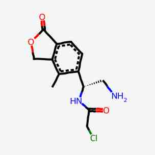 Cc1c([C@H](CN)NC(=O)CCl)ccc2c1COC2=O